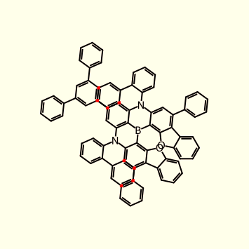 c1ccc(-c2cc(-c3ccccc3)cc(-c3cc4c5c(c3)N(c3ccccc3-c3ccccc3)c3cc(-c6ccccc6)c6c(oc7ccccc76)c3B5c3c(cc(-c5ccccc5)c5c3oc3ccccc35)N4c3ccccc3-c3ccccc3)c2)cc1